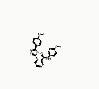 COc1ccc(Nc2nn3c(-c4ccc(OC)cc4)nnc3c3ccccc23)cc1